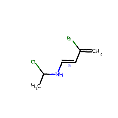 C=C(Br)/C=C/NC(C)Cl